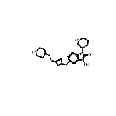 Cn1c(=O)n(C2CCCNC2)c2ccc(CN3CC(OCC4CCNCC4)C3)cc21